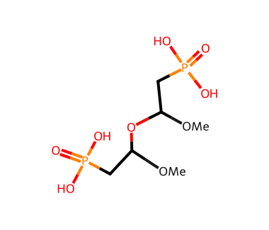 COC(CP(=O)(O)O)OC(CP(=O)(O)O)OC